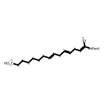 CCCCCC(=CCC=CCC=CCCCCCCC(=O)O)CC